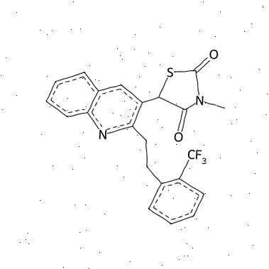 CN1C(=O)SC(c2cc3ccccc3nc2CCc2ccccc2C(F)(F)F)C1=O